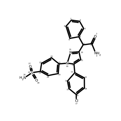 NC(=O)C(c1ccccc1)c1cc(-c2ccc(Cl)cc2)n(-c2ccc(S(N)(=O)=O)cc2)n1